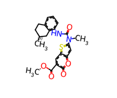 COC(=O)c1cc2sc(N(C)C(=O)Nc3cccc4c3C[C@@H](C)CC4)cc2oc1=O